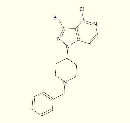 Clc1nccc2c1c(Br)nn2C1CCN(Cc2ccccc2)CC1